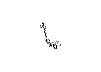 C=CC(=O)OCCCCCCOc1ccc(C(=O)Oc2ccc(C)cc2C(F)(F)F)cc1